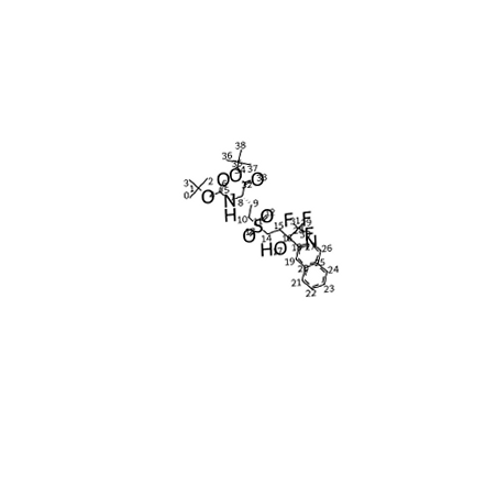 CC(C)(C)OC(=O)N[C@@H](CCS(=O)(=O)CCC(O)(c1cc2ccccc2cn1)C(F)(F)F)C(=O)OC(C)(C)C